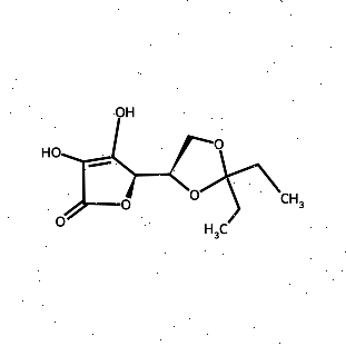 CCC1(CC)OC[C@H]([C@H]2OC(=O)C(O)=C2O)O1